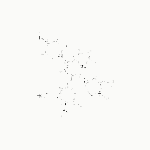 Cc1ccc(-c2c(-c3ccc(C#N)c(F)c3)nc(N3CCC(N)CC3)c3ccoc23)cc1O.Cl